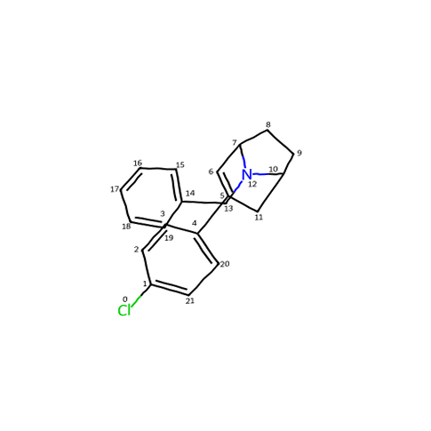 Clc1ccc(C2=CC3CCC(C2)N3Cc2ccccc2)cc1